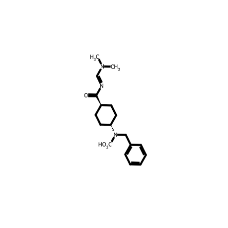 CN(C)C=NC(=O)[C@H]1CC[C@H](N(Cc2ccccc2)C(=O)O)CC1